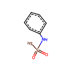 O=S(=O)(S)Nc1ccccc1